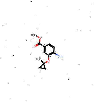 COC(=O)c1ccc(N)c(OC2(C)CC2)c1